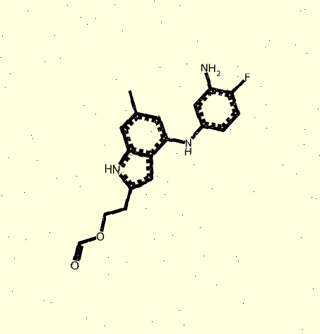 Cc1cc(Nc2ccc(F)c(N)c2)c2cc(CCOC=O)[nH]c2c1